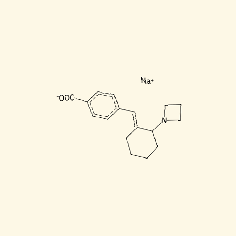 O=C([O-])c1ccc(C=C2CCCCC2N2CCC2)cc1.[Na+]